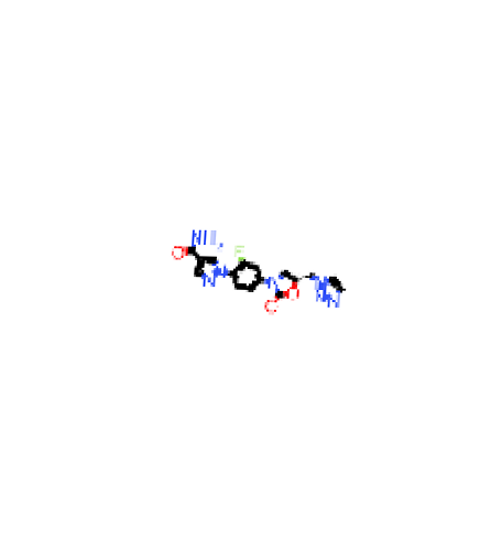 NC(=O)c1cnn(-c2ccc(N3C[C@H](Cn4ccnn4)OC3=O)cc2F)c1